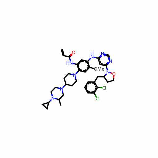 C=CC(=O)Nc1cc(Nc2cc(N3OCCC3Cc3cccc(Cl)c3Cl)ncn2)c(OC)cc1N1CCC(N2CCN(C3CC3)C(C)C2)CC1